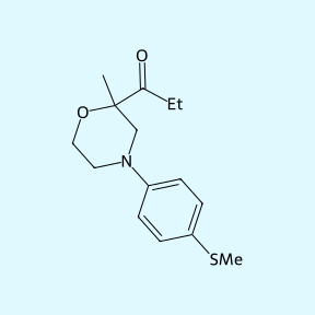 CCC(=O)C1(C)CN(c2ccc(SC)cc2)CCO1